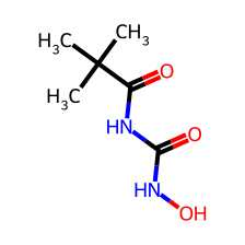 CC(C)(C)C(=O)NC(=O)NO